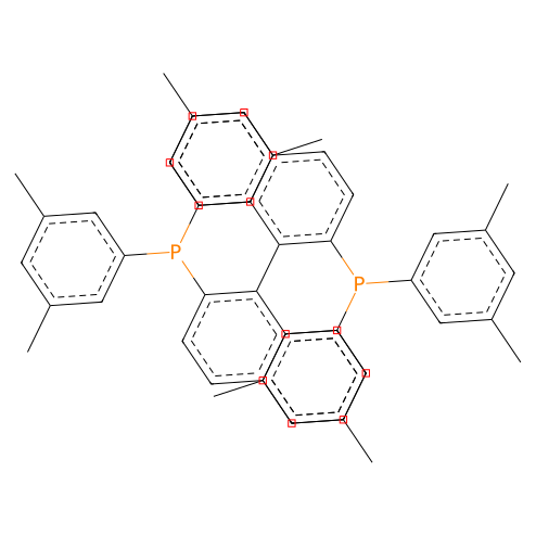 Cc1cc(C)cc(P(c2cc(C)cc(C)c2)c2ccc3ccccc3c2-c2c(P(c3cc(C)cc(C)c3)c3cc(C)cc(C)c3)ccc3ccccc23)c1